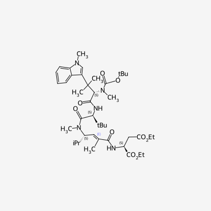 CCOC(=O)C[C@H](NC(=O)/C(C)=C/[C@H](C(C)C)N(C)C(=O)[C@@H](NC(=O)[C@@H](N(C)C(=O)OC(C)(C)C)C(C)(C)c1cn(C)c2ccccc12)C(C)(C)C)C(=O)OCC